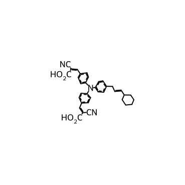 N#C/C(=C/c1ccc(N(c2ccc(/C=C(\C#N)C(=O)O)cc2)c2ccc(C/C=C/C3CCCCC3)cc2)cc1)C(=O)O